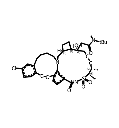 C[C@@H]1[C@@H](C)CCC[C@@](O)(CC(=O)N(C)C(C)(C)C)[C@@H]2CC[C@H]2CN2CCCCc3cc(Cl)ccc3COc3ccc(cc32)C(=O)NS1(=O)=O